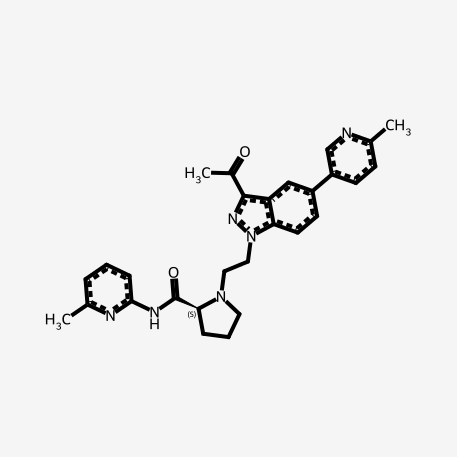 CC(=O)c1nn(CCN2CCC[C@H]2C(=O)Nc2cccc(C)n2)c2ccc(-c3ccc(C)nc3)cc12